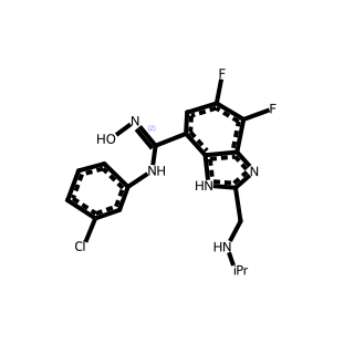 CC(C)NCc1nc2c(F)c(F)cc(/C(=N/O)Nc3cccc(Cl)c3)c2[nH]1